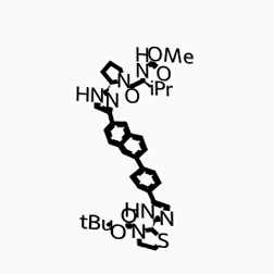 COC(=O)N[C@H](C(=O)N1CCC[C@H]1c1nc(-c2ccc3cc(-c4ccc(-c5cnc([C@@H]6SCCN6C(=O)OC(C)(C)C)[nH]5)cc4)ccc3c2)c[nH]1)C(C)C